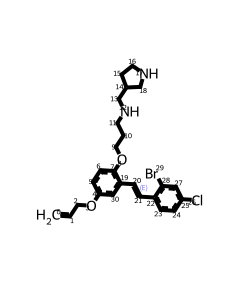 C=CCOc1ccc(OCCCNCC2CCNC2)c(/C=C/c2ccc(Cl)cc2Br)c1